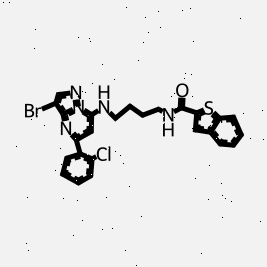 O=C(NCCCCNc1cc(-c2ccccc2Cl)nc2c(Br)cnn12)c1cc2ccccc2s1